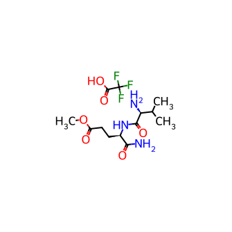 COC(=O)CC[C@@H](NC(=O)[C@@H](N)C(C)C)C(N)=O.O=C(O)C(F)(F)F